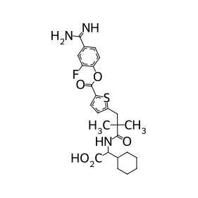 CC(C)(Cc1ccc(C(=O)Oc2ccc(C(=N)N)cc2F)s1)C(=O)NC(C(=O)O)C1CCCCC1